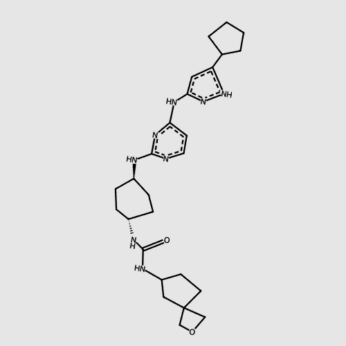 O=C(NC1CCC2(COC2)C1)N[C@H]1CC[C@H](Nc2nccc(Nc3cc(C4CCCC4)[nH]n3)n2)CC1